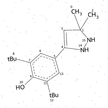 CC1(C)C=C(c2cc(C(C)(C)C)c(O)c(C(C)(C)C)c2)NN1